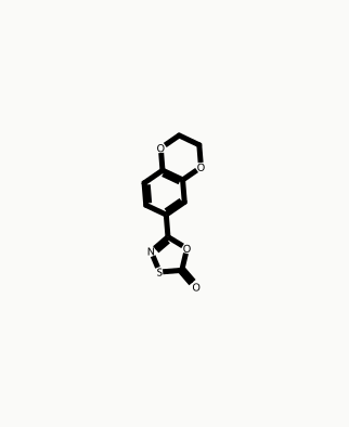 O=c1oc(-c2ccc3c(c2)OCCO3)ns1